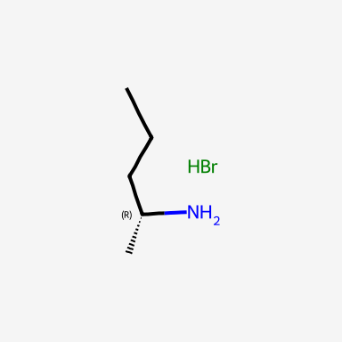 Br.CCC[C@@H](C)N